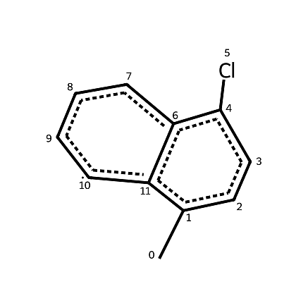 Cc1ccc(Cl)c2ccc[c]c12